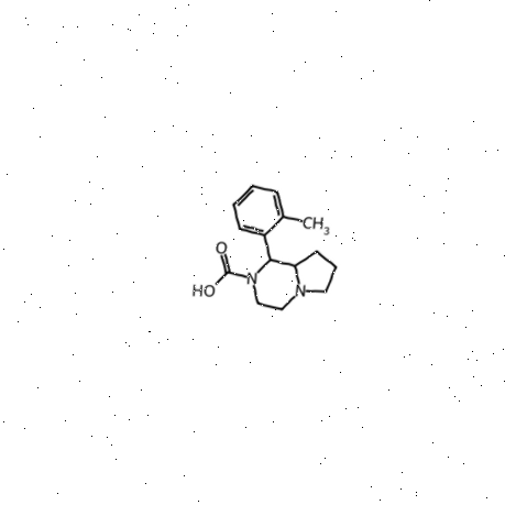 Cc1ccccc1C1C2CCCN2CCN1C(=O)O